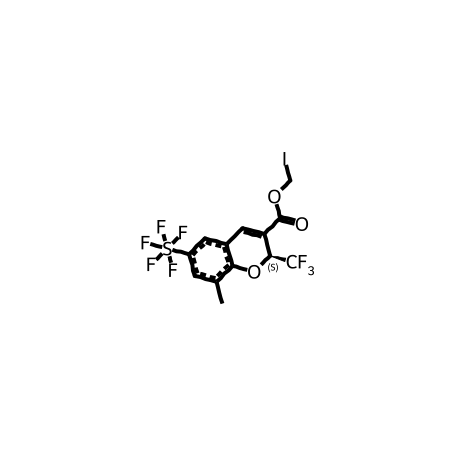 Cc1cc(S(F)(F)(F)(F)F)cc2c1O[C@H](C(F)(F)F)C(C(=O)OCI)=C2